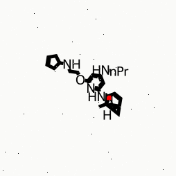 CCCNc1cc(N/N=C/C23C=CC=C(C)[C@H]2C3)nc(OCCNC2CC=CC2)c1